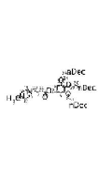 CCCCCCCCCCCCOc1cc(COC(=O)CCCN2CCN(C)CC2)cc(OCCCCCCCCCCCC)c1OCCCCCCCCCCCC